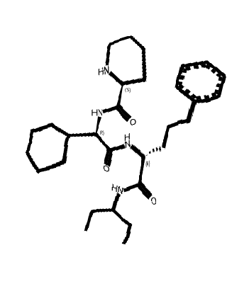 CCC(CC)NC(=O)[C@@H](CCCc1ccccc1)NC(=O)[C@H](NC(=O)[C@@H]1CCCCN1)C1CCCCC1